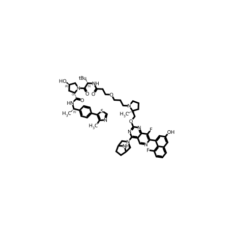 Cc1ncsc1-c1ccc([C@H](C)NC(=O)[C@@H]2C[C@@H](O)CN2C(=O)[C@@H](NC(=O)CCOCCCN2CCC[C@@]2(C)COc2nc(N3CC4CCC(C3)N4)c3cnc(-c4cc(O)cc5cccc(F)c45)c(F)c3n2)C(C)(C)C)cc1